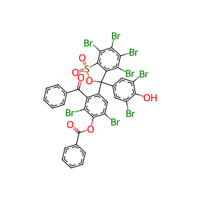 O=C(Oc1c(Br)cc(C2(c3cc(Br)c(O)c(Br)c3)OS(=O)(=O)c3c(Br)c(Br)c(Br)c(Br)c32)c(C(=O)c2ccccc2)c1Br)c1ccccc1